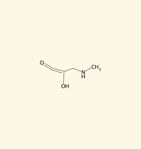 CNCC(O)=C=O